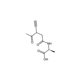 C#CC(CC(=O)N[C@@H](C)C(=O)O)C(C)=O